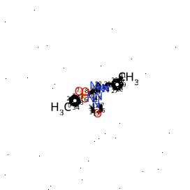 Cc1ccc(S(=O)(=O)Oc2nc(N3CCOCC3)nc3c2ncn3N=Cc2cccc(C)c2)cc1